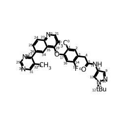 Cc1cc(CC(=O)Nc2cnn(C(C)(C)C)c2)c(F)cc1Oc1ccnc2ccc(-c3ncncc3C)cc12